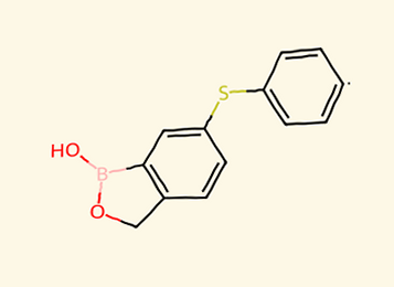 OB1OCc2ccc(Sc3cc[c]cc3)cc21